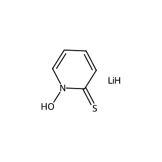 On1ccccc1=S.[LiH]